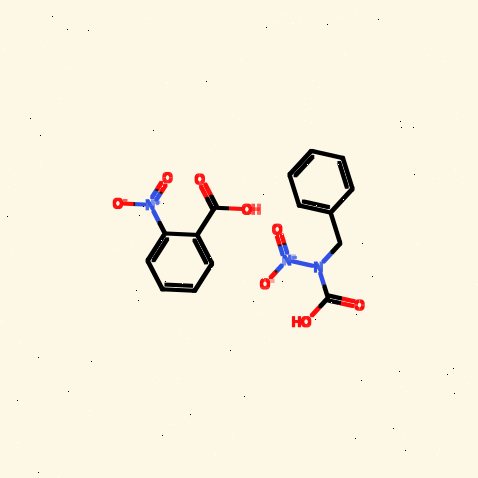 O=C(O)N(Cc1ccccc1)[N+](=O)[O-].O=C(O)c1ccccc1[N+](=O)[O-]